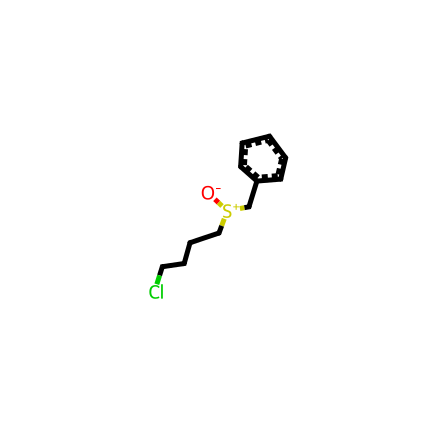 [O-][S+](CCCCCl)Cc1ccccc1